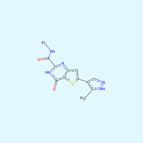 CCNC(=O)c1nc2cc(-c3cn[nH]c3C)sc2c(=O)[nH]1